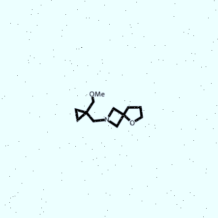 COCC1(CN2CC3(CCCO3)C2)CC1